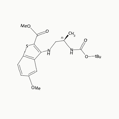 COC(=O)c1sc2ccc(OC)cc2c1NC[C@@H](C)NC(=O)OC(C)(C)C